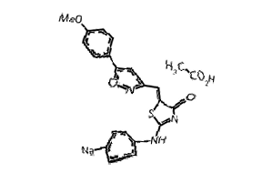 CC(=O)O.COc1ccc(-c2cc(/C=C3\SC(Nc4cc[c]([Na])cc4)=NC3=O)no2)cc1